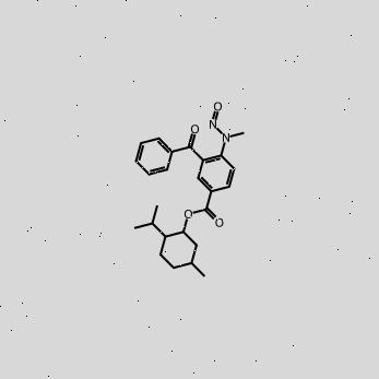 CC1CCC(C(C)C)C(OC(=O)c2ccc(N(C)N=O)c(C(=O)c3ccccc3)c2)C1